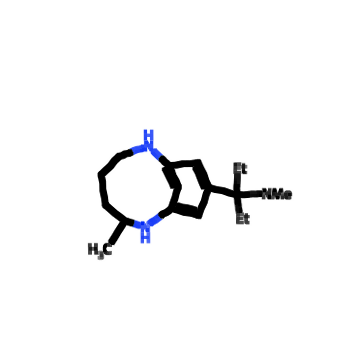 CCC(CC)(NC)c1cc2cc(c1)NC(C)CCCN2